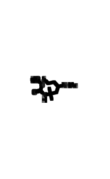 CC(=O)NC(CCS(=O)(=O)O)CC(C)(C)NC(=O)OC(C)(C)C